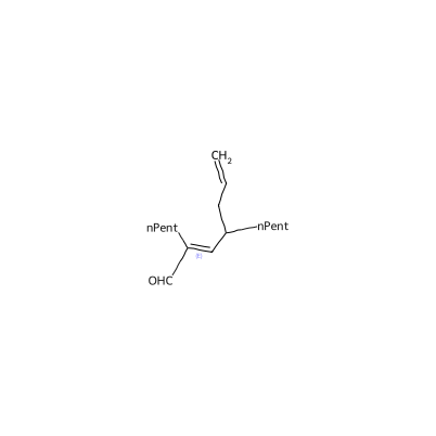 C=CCC(/C=C(/C=O)CCCCC)CCCCC